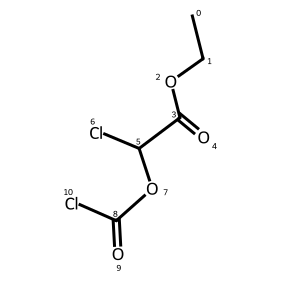 CCOC(=O)C(Cl)OC(=O)Cl